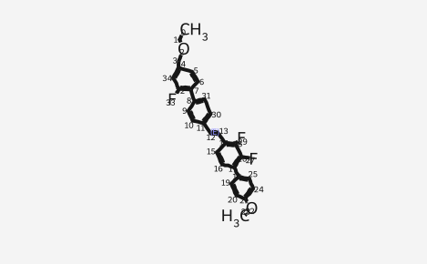 CCOCc1ccc(-c2ccc(/C=C/c3ccc(-c4ccc(OC)cc4)c(F)c3F)cc2)c(F)c1